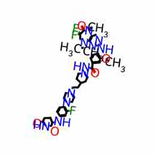 COc1cc(C(=O)NN2CCC(CCN3CCN(c4ccc(NC5CCC(=O)NC5=O)cc4F)CC3)CC2)ccc1Nc1ncc2c(n1)N(C(C)C)CC(F)(F)C(=O)N2C